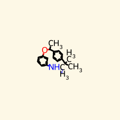 CC(Oc1cccc(N)c1)c1ccc(C(C)(C)C)cc1